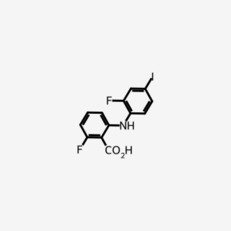 O=C(O)c1c(F)cccc1Nc1ccc(I)cc1F